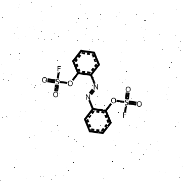 O=S(=O)(F)Oc1ccccc1/N=N/c1ccccc1OS(=O)(=O)F